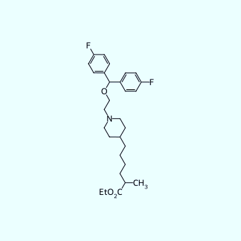 CCOC(=O)C(C)CCCCC1CCN(CCOC(c2ccc(F)cc2)c2ccc(F)cc2)CC1